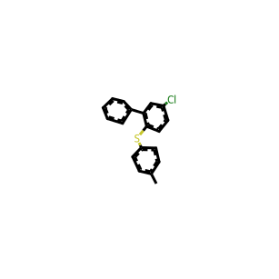 Cc1ccc(Sc2ccc(Cl)cc2-c2ccccc2)cc1